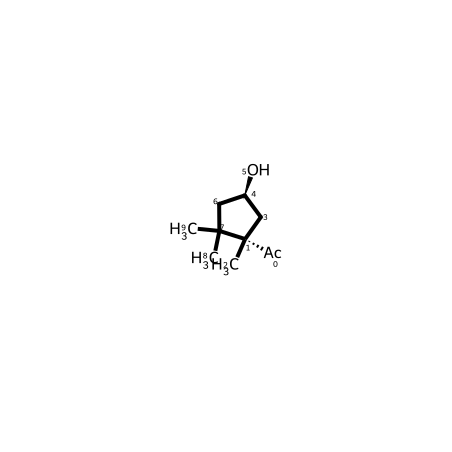 CC(=O)[C@@]1(C)C[C@H](O)CC1(C)C